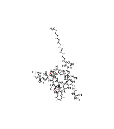 CCCCCCCCCCCCCCCC(=O)N[C@@H](CO)C(=O)N[C@H](Cc1c[nH]c2ccccc12)C(=O)N[C@@H](CO)C(=O)N[C@@H](CCCNC(=N)N)C(=O)N[C@@H](Cc1c[nH]c2ccccc12)C(=O)N[C@H](C(=O)N[C@@H](CC(C)C)C(=O)N[C@@H](C)C(=O)N[C@@H](CC(C)C)C(=O)NC)[C@@H](C)O